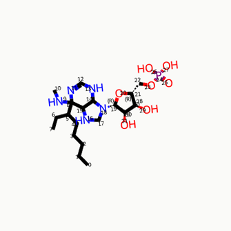 CCCCCC(CC)C1(NC)N=CNC2C1NCN2[C@@H]1O[C@H](COP(=O)(O)O)[C@@H](O)[C@H]1O